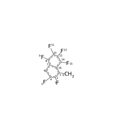 Cc1c(F)c(F)[c]c2c(F)c(F)c(F)c(F)c12